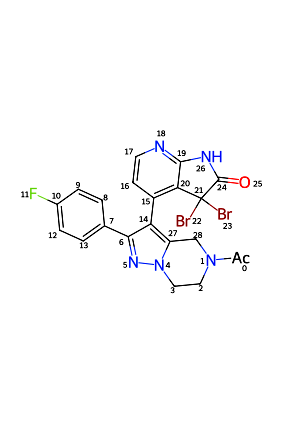 CC(=O)N1CCn2nc(-c3ccc(F)cc3)c(-c3ccnc4c3C(Br)(Br)C(=O)N4)c2C1